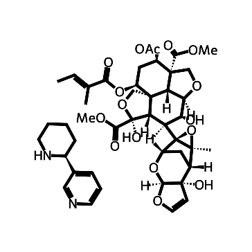 C/C=C(\C)C(=O)O[C@H]1C[C@@H](OC(C)=O)[C@@]2(C(=O)OC)CO[C@H]3[C@@H](O)[C@@](C)([C@]45O[C@@]4(C)[C@H]4C[C@@H]5O[C@@H]5OC=C[C@@]54O)[C@H]4[C@]1(CO[C@]4(O)C(=O)OC)[C@@H]32.c1cncc([C@@H]2CCCCN2)c1